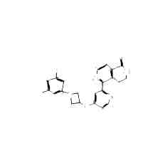 O=C1NCCc2c1ccnc2-c1cc(OC2CN(c3cc(F)cc(C(F)(F)F)c3)C2)ccn1